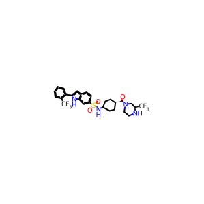 O=C([C@H]1CC[C@H](NS(=O)(=O)c2ccc3cc(-c4ccccc4C(F)(F)F)[nH]c3c2)CC1)N1CCNC(C(F)(F)F)C1